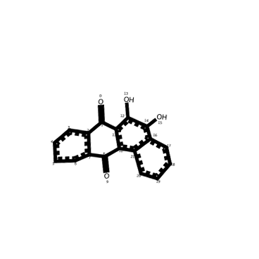 O=C1c2ccccc2C(=O)c2c1c(O)c(O)c1ccccc21